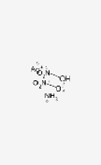 N.O=[N+]([O-])O.O=[N+]([O-])[O-].[Ag+]